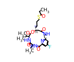 C/C=C1\NC(=O)c2cc(F)cc(n2)CNC(=O)C[C@@H](/C=C/CCSC(=O)CC)OC(=O)C(C(C)C)NC1=O